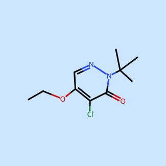 CCOc1cnn(C(C)(C)C)c(=O)c1Cl